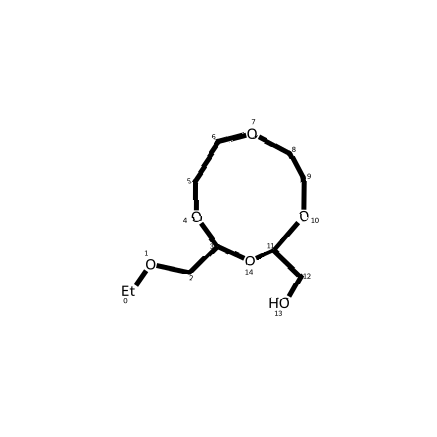 CCOCC1OCCOCCOC(CO)O1